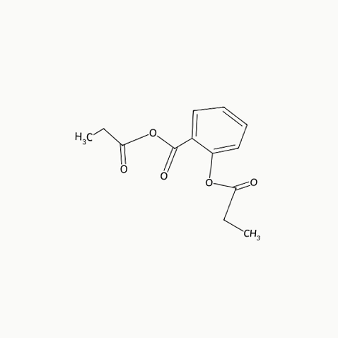 CCC(=O)OC(=O)c1ccccc1OC(=O)CC